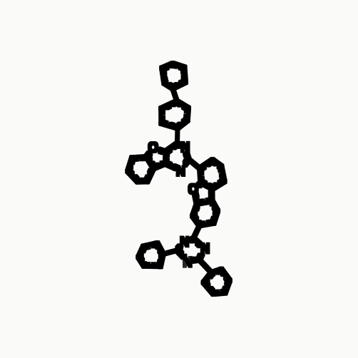 c1ccc(-c2ccc(-c3nc(-c4cccc5c4oc4cc(-c6nc(-c7ccccc7)nc(-c7ccccc7)n6)ccc45)nc4c3oc3ccccc34)cc2)cc1